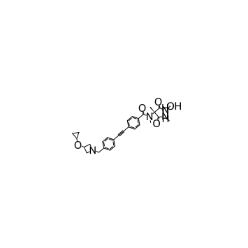 CNC(=O)[C@@](C)(C(=O)NO)N(C)C(=O)c1ccc(C#Cc2ccc(CN3CC(OC4CC4)C3)cc2)cc1